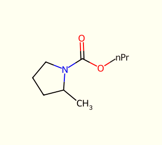 CCCOC(=O)N1CCCC1C